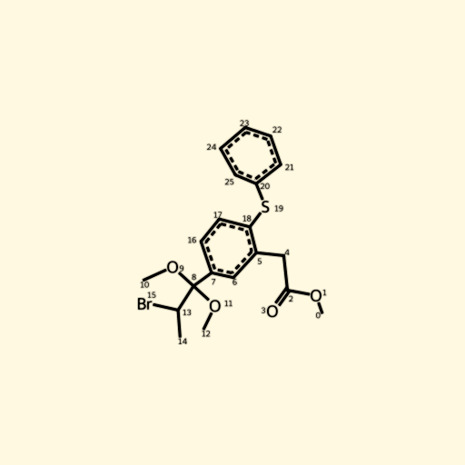 COC(=O)Cc1cc(C(OC)(OC)C(C)Br)ccc1Sc1ccccc1